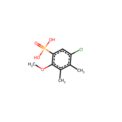 COc1c(P(=O)(O)O)cc(Cl)c(C)c1C